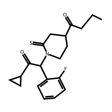 CCCC(=O)C1CCN(C(C(=O)C2CC2)c2ccccc2F)C(=S)C1